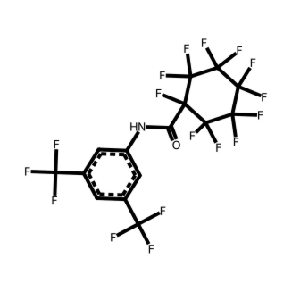 O=C(Nc1cc(C(F)(F)F)cc(C(F)(F)F)c1)C1(F)C(F)(F)C(F)(F)C(F)(F)C(F)(F)C1(F)F